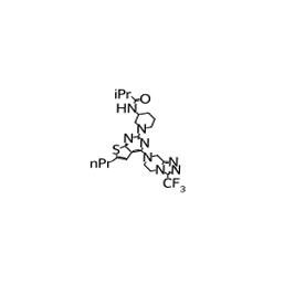 CCCc1cc2c(N3CCn4c(nnc4C(F)(F)F)C3)nc(N3CCCC(NC(=O)C(C)C)C3)nc2s1